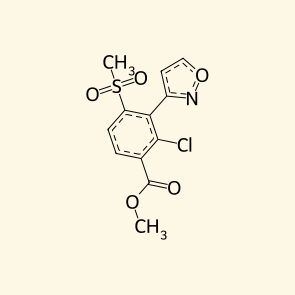 COC(=O)c1ccc(S(C)(=O)=O)c(-c2ccon2)c1Cl